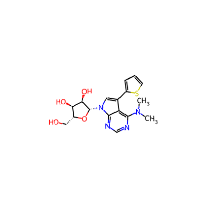 CN(C)c1ncnc2c1c(-c1cccs1)cn2[C@@H]1O[C@H](CO)[C@@H](O)[C@H]1O